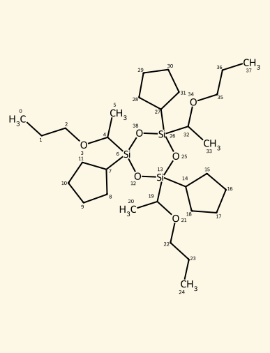 CCCOC(C)[Si]1(C2CCCC2)O[Si](C2CCCC2)(C(C)OCCC)O[Si](C2CCCC2)(C(C)OCCC)O1